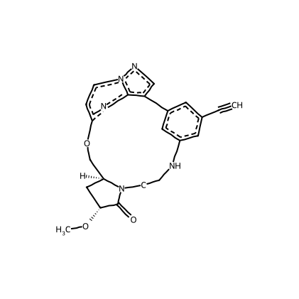 C#Cc1cc2cc(c1)-c1cnn3ccc(nc13)OC[C@@H]1C[C@@H](OC)C(=O)N1CCN2